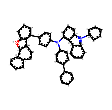 c1ccc(-c2ccc(N(c3ccc(-c4cccc5oc6c7ccccc7ccc6c45)cc3)c3cccc4c3c3ccccc3n4-c3ccccc3)cc2)cc1